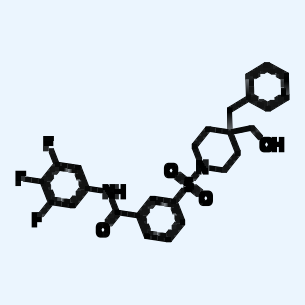 O=C(Nc1cc(F)c(F)c(F)c1)c1cccc(S(=O)(=O)N2CCC(CO)(Cc3ccccc3)CC2)c1